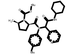 C[C@@H]1CC[C@H](C(=O)N(c2ccc(C(C)(C)C)cc2)C(C(=O)NC2CCCCC2)c2cccnc2)N1C(=O)OC(C)(C)C